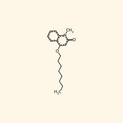 CCCCCCCCOc1cc(=O)n(C)c2ccccc12